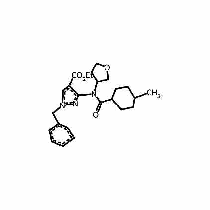 CCOC(=O)c1cn(Cc2ccccc2)nc1N(C(=O)C1CCC(C)CC1)C1CCOC1